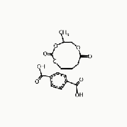 CC1COC(=O)CCCCC(=O)O1.O=C(O)c1ccc(C(=O)O)cc1